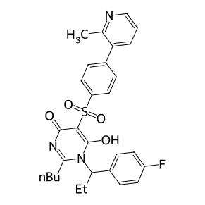 CCCCc1nc(=O)c(S(=O)(=O)c2ccc(-c3cccnc3C)cc2)c(O)n1C(CC)c1ccc(F)cc1